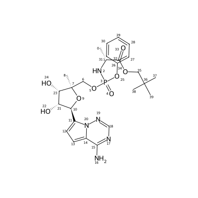 C[C@@H](NP(=O)(OC[C@@]1(C)O[C@@H](c2ccc3c(N)ncnn23)[C@H](O)[C@@H]1O)Oc1ccccc1)C(=O)OCC(C)(C)C